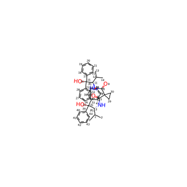 CC(C)[C@@H](NC(=O)C1(C(=O)N[C@H](C(C)C)C(O)(c2ccccc2)c2ccccc2)CC1)C(O)(c1ccccc1)c1ccccc1